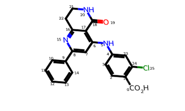 O=C(O)c1ccc(Nc2cc(-c3ccccc3)nc3c2C(=O)NCC3)cc1Cl